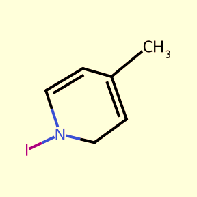 CC1=CCN(I)C=C1